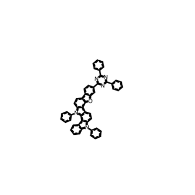 c1ccc(-c2nc(-c3ccccc3)nc(-c3ccc4c(c3)oc3c4ccc4c3c3ccc5c(c6ccccc6n5-c5ccccc5)c3n4-c3ccccc3)n2)cc1